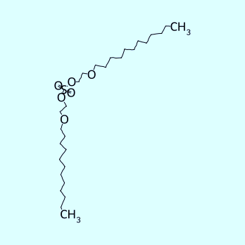 CCCCCCCCCCCCOCCOS(=O)(=O)OCCOCCCCCCCCCCCC